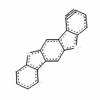 c1ccc2[nH]c3cc4c(cc3c2c#1)[nH]c1ccccc14